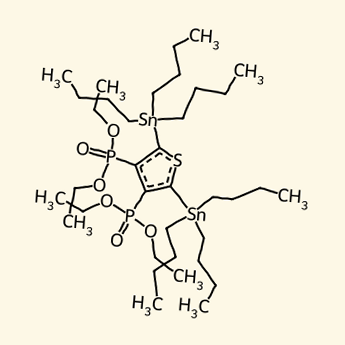 CCC[CH2][Sn]([CH2]CCC)([CH2]CCC)[c]1s[c]([Sn]([CH2]CCC)([CH2]CCC)[CH2]CCC)c(P(=O)(OCC)OCC)c1P(=O)(OCC)OCC